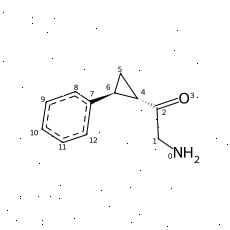 NCC(=O)[C@H]1C[C@@H]1c1ccccc1